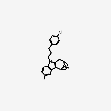 Cc1ccc2c(c1)c1c(n2CCCc2ccc(Cl)cc2)CC2CCC1N2C